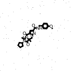 CCN1C(=O)c2cc(C(=O)NCc3ccc(OC)cc3)nn2CC1(C)C(=O)NC1CCCC1